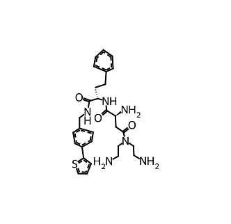 NCCN(CCN)C(=O)C[C@H](N)C(=O)N[C@@H](CCc1ccccc1)C(=O)NCc1ccc(-c2cccs2)cc1